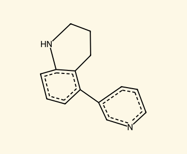 c1cncc(-c2cccc3c2CCCN3)c1